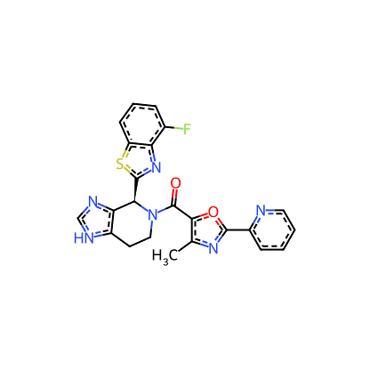 Cc1nc(-c2ccccn2)oc1C(=O)N1CCc2[nH]cnc2[C@H]1c1nc2c(F)cccc2s1